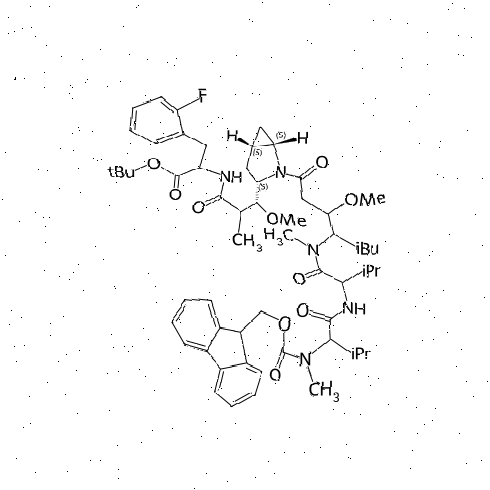 CCC(C)C(C(CC(=O)N1[C@H](C(OC)C(C)C(=O)NC(Cc2ccccc2F)C(=O)OC(C)(C)C)C[C@@H]2C[C@@H]21)OC)N(C)C(=O)C(NC(=O)C(C(C)C)N(C)C(=O)OCC1c2ccccc2-c2ccccc21)C(C)C